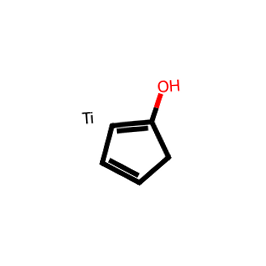 OC1=CC=CC1.[Ti]